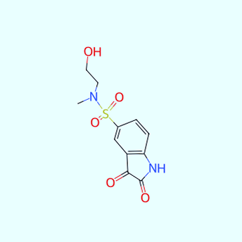 CN(CCO)S(=O)(=O)c1ccc2c(c1)C(=O)C(=O)N2